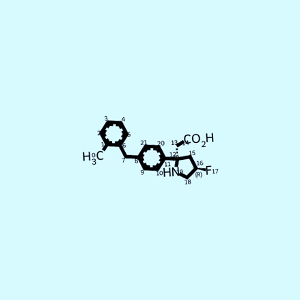 Cc1ccccc1Cc1ccc([C@@]2(CC(=O)O)C[C@@H](F)CN2)cc1